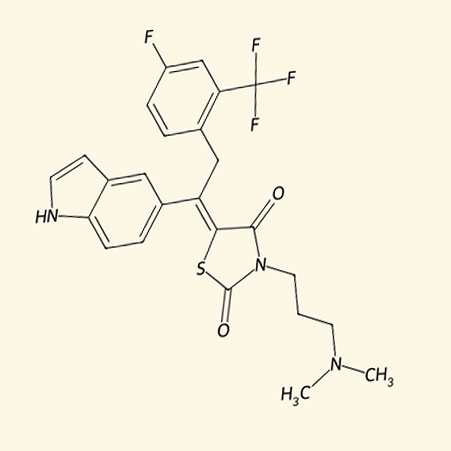 CN(C)CCCN1C(=O)S/C(=C(/Cc2ccc(F)cc2C(F)(F)F)c2ccc3[nH]ccc3c2)C1=O